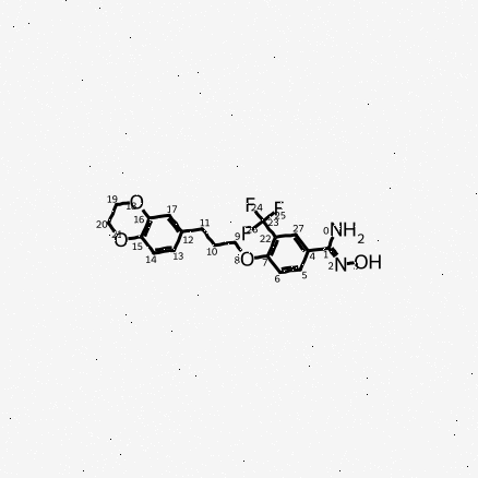 N/C(=N\O)c1ccc(OCCCc2ccc3c(c2)OCCO3)c(C(F)(F)F)c1